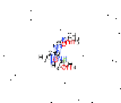 CC(C)CN(Cc1cnc2c(ccn2-c2cc(NC(C)C)c(C(=O)NC[C@@H](F)C(C)(C)O)cn2)c1)C(=O)O